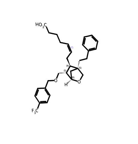 O=C(O)CCC/C=C\C[C@@H]1[C@@H](COCc2ccc(C(F)(F)F)cc2)[C@H]2C[C@]1(CCc1ccccc1)CO2